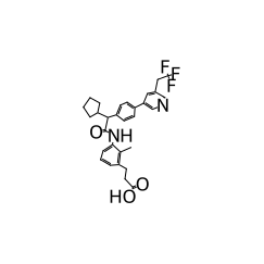 Cc1c(CCC(=O)O)cccc1NC(=O)C(c1ccc(-c2cncc(CC(F)(F)F)c2)cc1)C1CCCC1